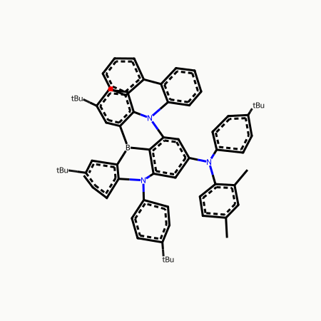 Cc1ccc(N(c2ccc(C(C)(C)C)cc2)c2cc3c4c(c2)N(c2ccccc2-c2ccccc2)c2ccc(C(C)(C)C)cc2B4c2cc(C(C)(C)C)ccc2N3c2ccc(C(C)(C)C)cc2)c(C)c1